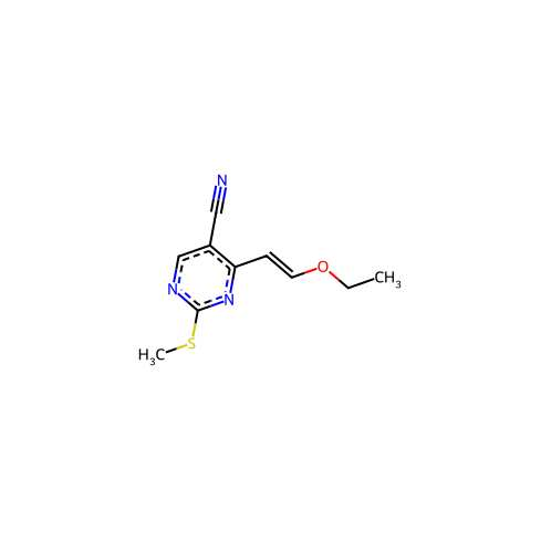 CCOC=Cc1nc(SC)ncc1C#N